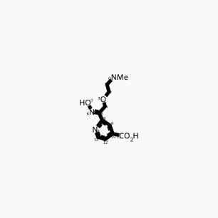 CNCCOC/C(=N\O)c1cc(C(=O)O)ccn1